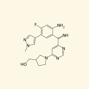 Cn1cc(-c2cc(C(=N)c3cc(N4CCC(CO)C4)ncn3)c(N)cc2F)cn1